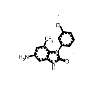 Nc1cc(C(F)(F)F)c2c(c1)[nH]c(=O)n2-c1cccc(Cl)c1